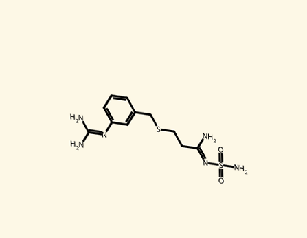 NC(N)=Nc1cccc(CSCC/C(N)=N/S(N)(=O)=O)c1